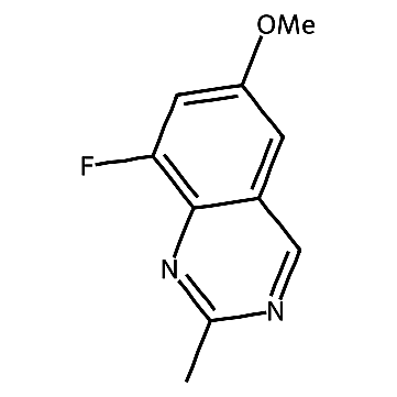 COc1cc(F)c2nc(C)ncc2c1